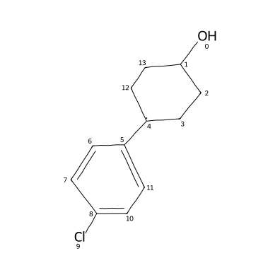 OC1CC[C](c2ccc(Cl)cc2)CC1